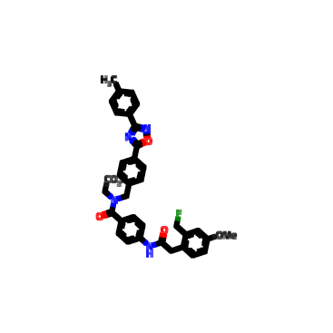 COc1ccc(CC(=O)Nc2ccc(C(=O)N(CC(=O)O)Cc3ccc(-c4nc(-c5ccc(C)cc5)no4)cc3)cc2)c(CF)c1